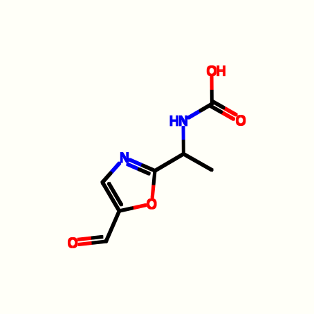 CC(NC(=O)O)c1ncc(C=O)o1